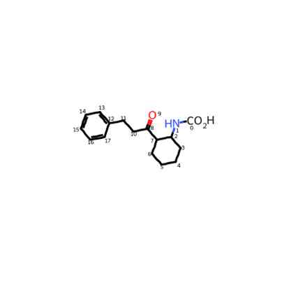 O=C(O)NC1CCCCC1C(=O)CCc1ccccc1